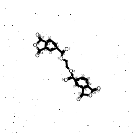 O=C(OCCOC(=O)c1ccc2c(c1)C(=O)OC2=O)c1ccc2c(c1)C(=O)OC2=O